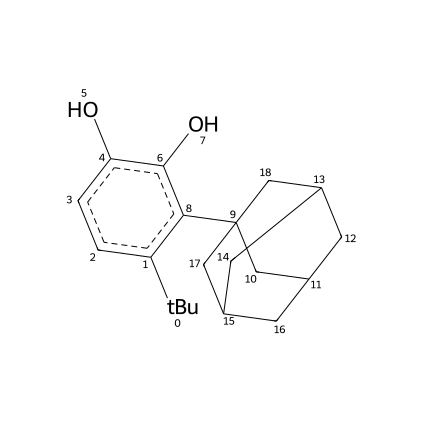 CC(C)(C)c1ccc(O)c(O)c1C12CC3CC(CC(C3)C1)C2